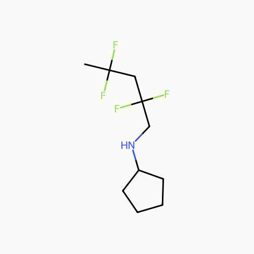 CC(F)(F)CC(F)(F)CNC1CCCC1